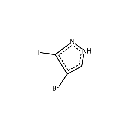 Brc1c[nH]nc1I